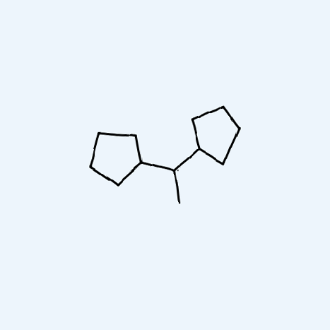 C[C](C1CCCC1)C1CCCC1